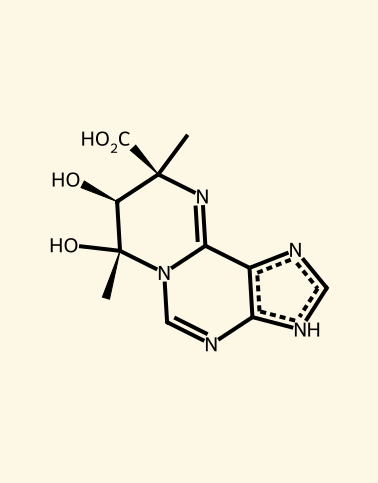 C[C@]1(C(=O)O)N=C2c3nc[nH]c3N=CN2[C@](C)(O)[C@H]1O